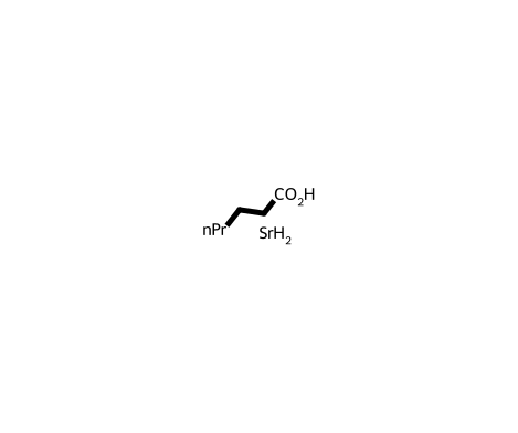 CCCCCC(=O)O.[SrH2]